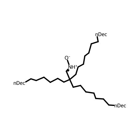 CCCCCCCCCCCCCCCCCC(C=[NH+][O-])(CCCCCCCCCCCCCCCC)CCCCCCCCCCCCCCCCC